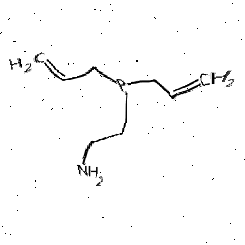 C=CCP(CC=C)CCN